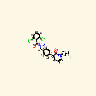 Cn1cccc(-c2ccc(CNC(=O)c3c(Cl)cccc3Cl)cc2)c1=O